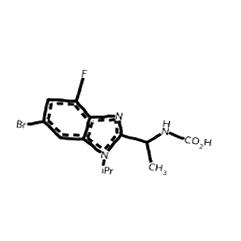 CC(NC(=O)O)c1nc2c(F)cc(Br)cc2n1C(C)C